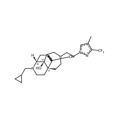 Cc1cn(CCN2CC[C@]34CCN(CC5CC5)[C@H](Cc5ccc(O)cc53)[C@]4(O)CC2)nc1C(F)(F)F